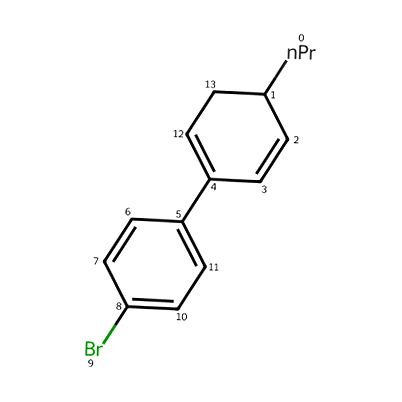 CCCC1C=CC(c2ccc(Br)cc2)=CC1